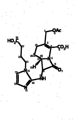 CC(=O)OCC1=C(C(=O)O)N2C(=O)C(Nc3nccn3CCCC(=O)O)[C@@H]2SC1